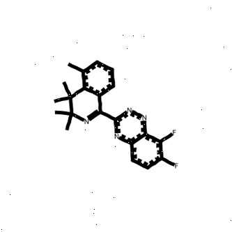 Cc1cccc2c1C(C)(C)C(C)(C)N=C2c1nnc2c(F)c(F)ccc2n1